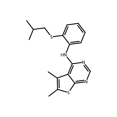 Cc1sc2ncnc(Nc3ccccc3SCC(C)C)c2c1C